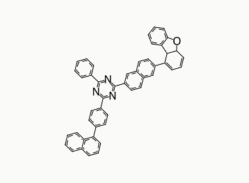 C1=CC2Oc3ccccc3C2C(c2ccc3cc(-c4nc(-c5ccccc5)nc(-c5ccc(-c6cccc7ccccc67)cc5)n4)ccc3c2)=C1